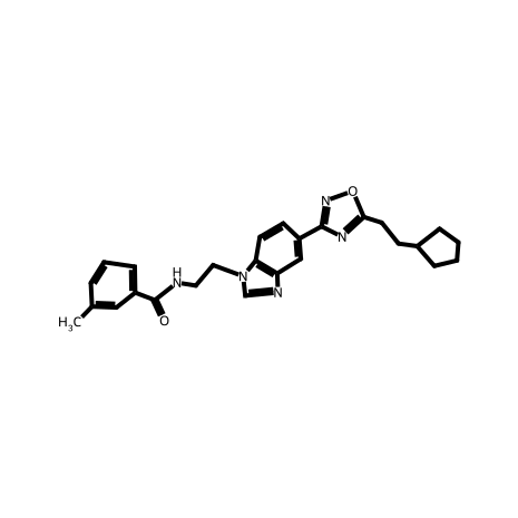 Cc1cccc(C(=O)NCCn2cnc3cc(-c4noc(CCC5CCCC5)n4)ccc32)c1